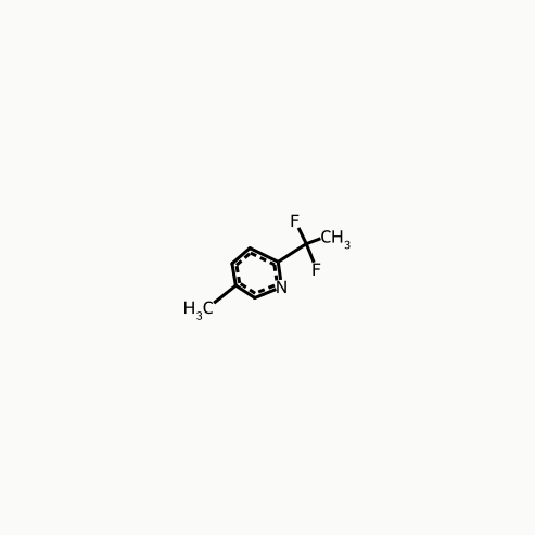 Cc1ccc(C(C)(F)F)nc1